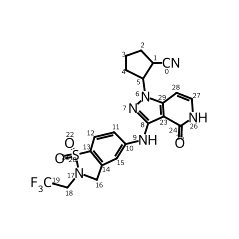 N#CC1CCCC1n1nc(Nc2ccc3c(c2)CN(CC(F)(F)F)S3(=O)=O)c2c(=O)[nH]ccc21